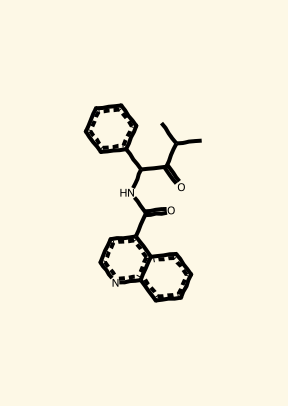 CC(C)C(=O)C(NC(=O)c1ccnc2ccccc12)c1ccccc1